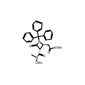 COC(=O)C[C@H]1[C@H](C(=O)N(C)OC)C(=O)N1C(c1ccccc1)(c1ccccc1)c1ccccc1